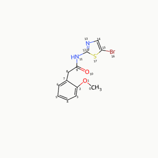 COc1ccccc1CC(=O)Nc1ncc(Br)s1